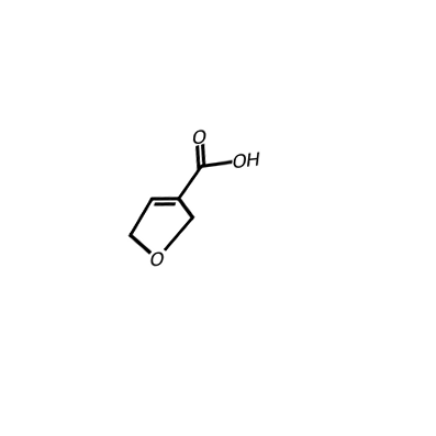 O=C(O)C1=CCOC1